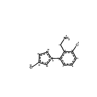 NCc1c(Cl)cccc1-n1cc(Cl)cn1